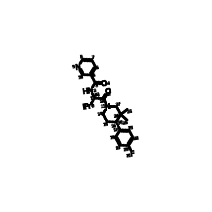 CC(C)[C@@H](NC(=O)c1cccnc1)C(=O)N1CC[C@H](c2ccc(F)cc2)C(C)(C)C1